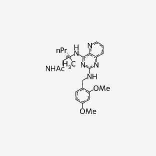 CCC[C@](C)(CNC(C)=O)Nc1nc(NCc2ccc(OC)cc2OC)nc2cccnc12